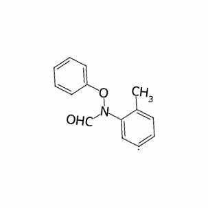 Cc1cc[c]cc1N(C=O)Oc1ccccc1